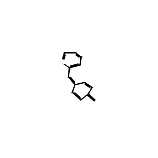 O=C1C=CC(=Cc2ccccn2)C=C1